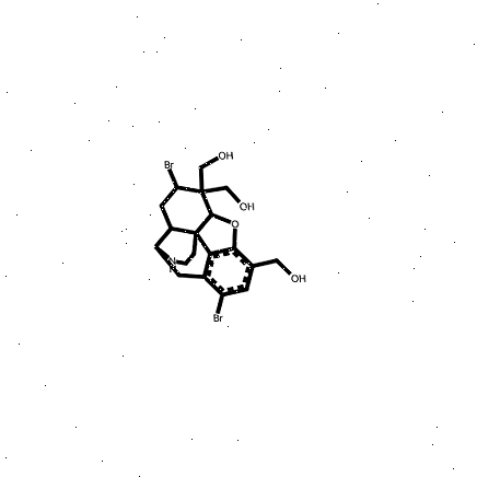 OCc1cc(Br)c2c3c1OC1C(CO)(CO)C(Br)CC4C(C2)NCCC341